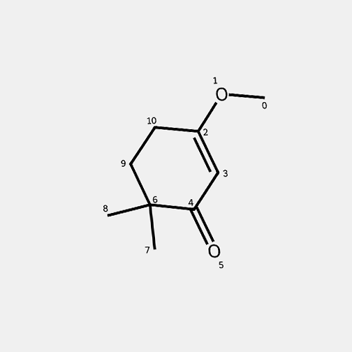 COC1=CC(=O)C(C)(C)CC1